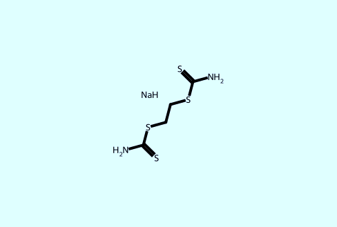 NC(=S)SCCSC(N)=S.[NaH]